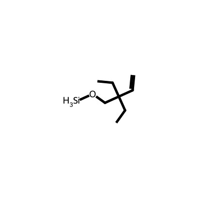 C=CC(CC)(CC)CO[SiH3]